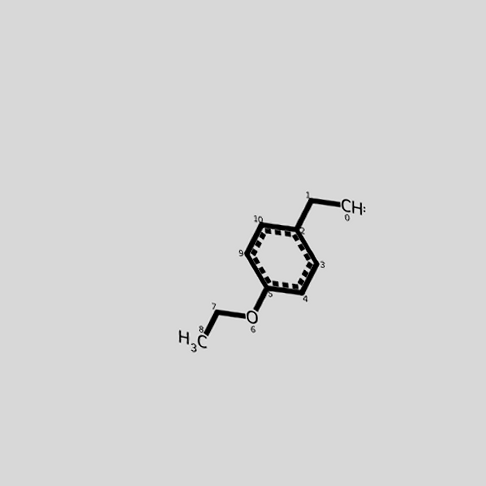 [CH]Cc1ccc(OCC)cc1